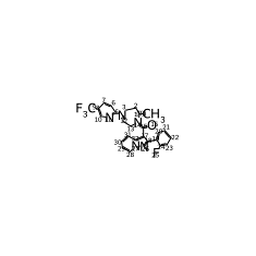 C[C@@H]1CCN(c2ccc(C(F)(F)F)cn2)CCN1C(=O)c1c(-c2ccccc2F)nn2ccccc12